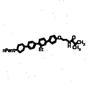 C=C(C)C(=O)NCCOc1ccc(-c2ccc(-c3ccc(C4CCC(CCCCC)CC4)cc3)c(CC)c2)cc1